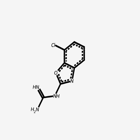 N=C(N)Nc1nc2cccc(Cl)c2o1